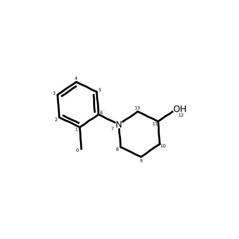 Cc1ccccc1N1CCCC(O)C1